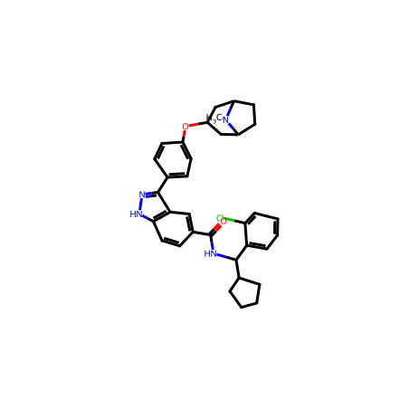 CN1C2CCC1CC(Oc1ccc(-c3n[nH]c4ccc(C(=O)NC(c5ccccc5Cl)C5CCCC5)cc34)cc1)C2